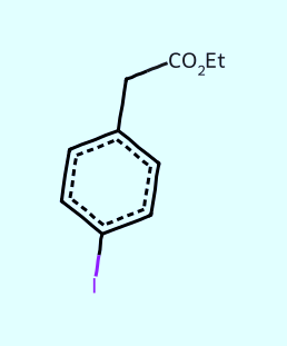 CCOC(=O)Cc1ccc(I)cc1